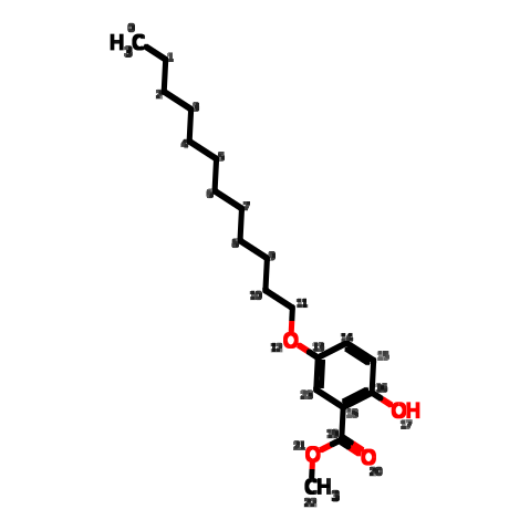 CCCCCCCCCCCCOc1ccc(O)c(C(=O)OC)c1